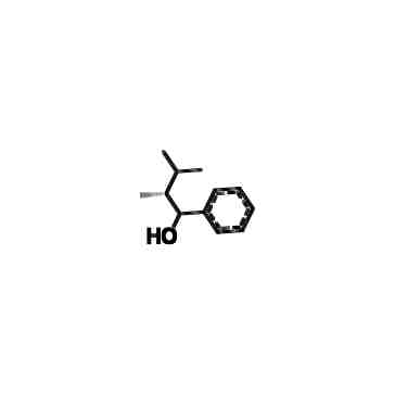 CC(C)[C@@H](C)C(O)c1ccccc1